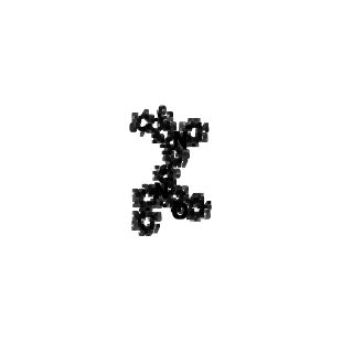 CC1(C)c2ccccc2-c2cc3c4cc(-c5ccc6c(c5)c5cc7c(cc5n6-c5cccc(-c6ccccc6)c5)oc5ccccc57)ccc4n(-c4ccccc4)c3cc21